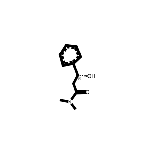 CN(C)C(=O)C[C@@H](O)c1ccccc1